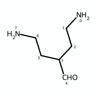 NCCC(C=O)CCN